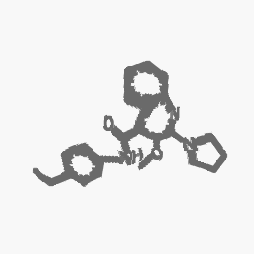 CCc1ccc(NC(=O)c2c(OC)c(N3CCCC3)nc3ccccc23)cc1